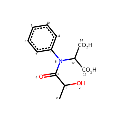 CC(O)C(=O)N(c1ccccc1)C(C(=O)O)C(=O)O